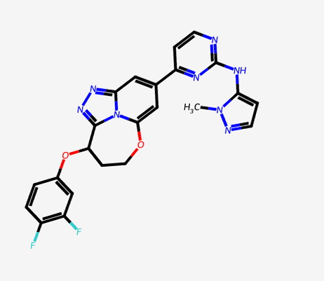 Cn1nccc1Nc1nccc(-c2cc3n4c(nnc4c2)C(Oc2ccc(F)c(F)c2)CCO3)n1